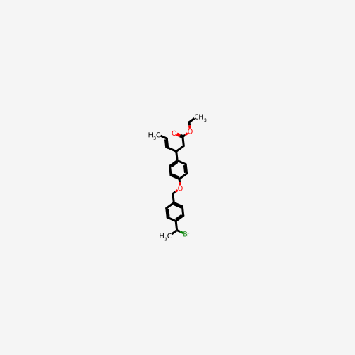 CC=CC(CC(=O)OCC)c1ccc(OCc2ccc(C(C)Br)cc2)cc1